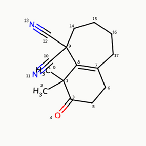 CC1(C)C(=O)CCC2=C1C(C#N)(C#N)CCCC2